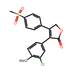 COc1ccc(C2=C(c3ccc(S(C)(=O)=O)cc3)COC2=O)cc1Cl